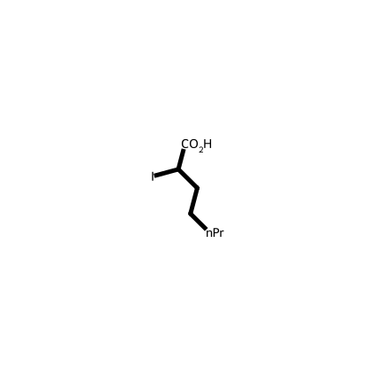 CCCCCC(I)C(=O)O